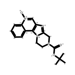 CC(C)(C)OC(=O)N1CCn2c(nc3c[n+]([O-])c4ccccc4c32)C1